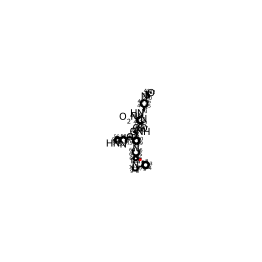 CC(C)c1ccccc1[C@H]1CCCN1C1CC2(CCN(c3ccc(C(=O)NS(=O)(=O)c4cnc(NCC5CCC(N=S(C)(C)=O)CC5)c([N+](=O)[O-])c4)c(Oc4cnc5[nH]ccc5c4)c3)CC2)C1